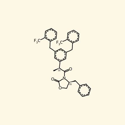 C[C@H](C(=O)N1C(=O)OC[C@@H]1Cc1ccccc1)c1cc(Cc2ccccc2C(F)(F)F)cc(Cc2ccccc2C(F)(F)F)c1